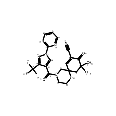 CC1(C)CC2(C=C(C#N)C1=O)CN(C(=O)c1cn(-c3ncccn3)nc1C(F)(F)F)CCO2